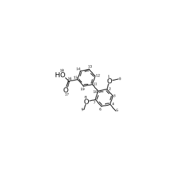 COc1cc(C)cc(OC)c1-c1cccc(C(=O)O)c1